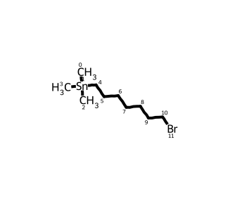 [CH3][Sn]([CH3])([CH3])[CH2]CCCCCCBr